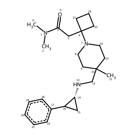 CN(C)C(=O)CC1(N2CCC(C)(CN[C@@H]3CC3c3ccccc3)CC2)CCC1